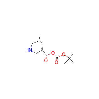 CC1C=C(C(=O)OC(=O)OC(C)(C)C)CNC1